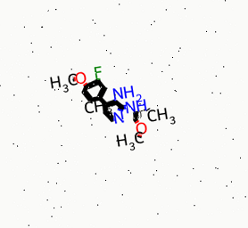 CC[C@H](COC)Nc1nccc(-c2cc(F)c(OC)cc2C)c1N